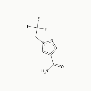 NC(=O)c1cnn(CC(F)(F)F)c1